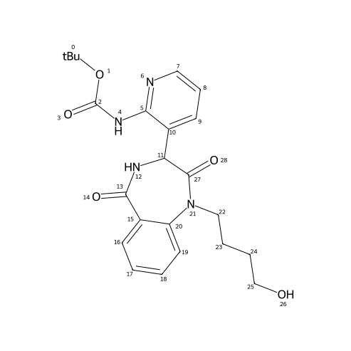 CC(C)(C)OC(=O)Nc1ncccc1C1NC(=O)c2ccccc2N(CCCCO)C1=O